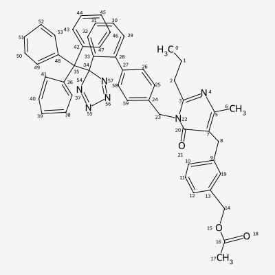 CCCc1nc(C)c(Cc2cccc(COC(C)=O)c2)c(=O)n1Cc1ccc(-c2ccccc2C2(C(c3ccccc3)(c3ccccc3)c3ccccc3)N=NN=N2)cc1